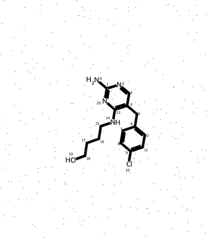 Nc1ncc(Cc2ccc(Cl)cc2)c(NCCCCO)n1